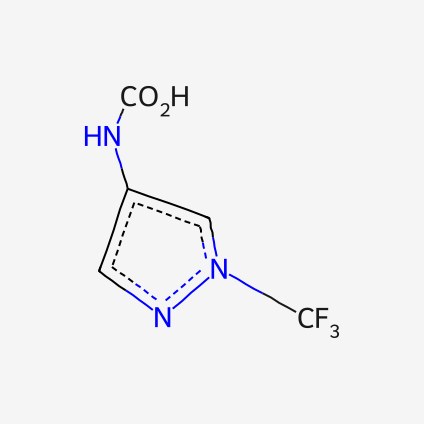 O=C(O)Nc1cnn(C(F)(F)F)c1